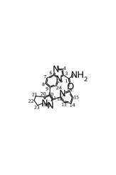 NC(=O)c1cnc2ccc(-c3c(-c4ccccn4)nn4c3CCC4)cn12